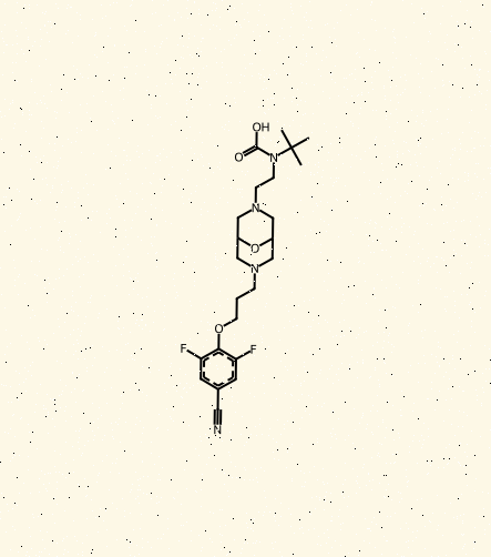 CC(C)(C)N(CCN1CC2CN(CCCOc3c(F)cc(C#N)cc3F)CC(C1)O2)C(=O)O